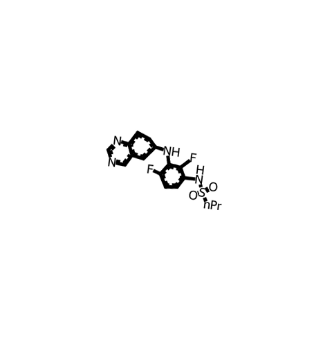 CCCS(=O)(=O)Nc1ccc(F)c(Nc2ccc3ncncc3c2)c1F